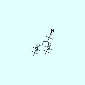 CC(C)(C#N)C(CCO[Si](C)(C)C(C)(C)C)O[Si](C)(C)C(C)(C)C